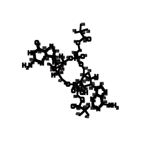 CO[C@H]1[C@H]2O[P@@](=O)(OCOC(=O)C(C)(C)C)OCC34C[C@@H]3[C@@H](n3cnc5c(N)ncnc53)[C@H](O)[C@@H]4[P@](=O)(SCOC(=O)C(C)(C)C)OC[C@H]1O[C@H]2n1cnc2c(=O)[nH]c(N)nc21